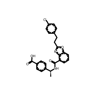 C[C@H](NC(=O)c1cccc2oc(CCc3ccc(Cl)cc3)nc12)c1ccc(C(=O)O)cc1